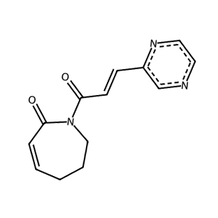 O=C1C=CCCCN1C(=O)C=Cc1cnccn1